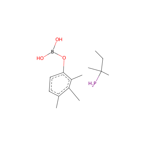 CCC(C)(C)P.Cc1ccc(OB(O)O)c(C)c1C